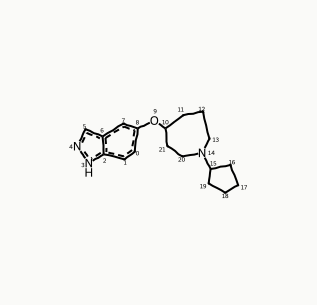 c1cc2[nH]ncc2cc1OC1CCCN(C2CCCC2)CC1